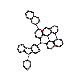 c1ccc(-c2cccc3cccc(-c4ccccc4N(c4ccc(-c5ccc6ccccc6c5)cc4)c4ccc5c(c4)c4ccccc4n5-c4ccccc4)c23)cc1